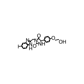 O=C1NC(c2ccc(OCCO)cc2)C(=O)N1Cc1nc2cc(I)ccc2[nH]1